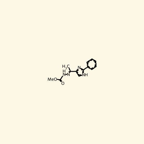 COC(=O)NN=C(C)c1c[nH]c(-c2ccccc2)n1